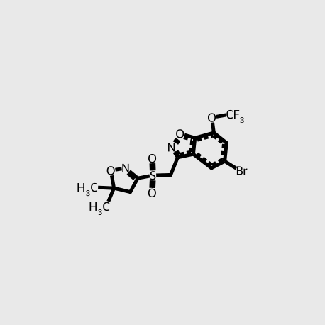 CC1(C)CC(S(=O)(=O)Cc2noc3c(OC(F)(F)F)cc(Br)cc23)=NO1